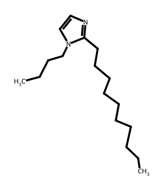 CCCCCCCCCCc1nccn1CCCC